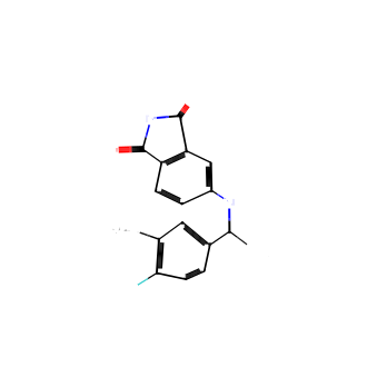 COc1cc(C(Nc2ccc3c(c2)C(=O)NC3=O)C(=O)O)ccc1F